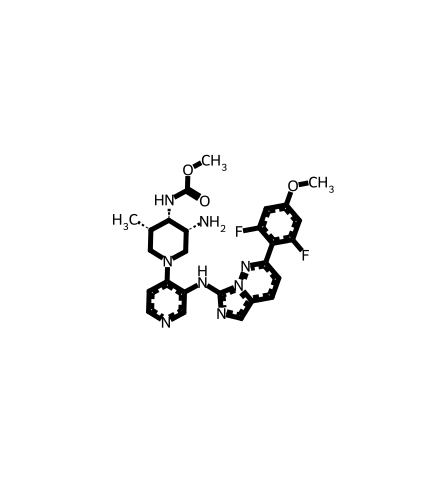 COC(=O)N[C@@H]1[C@H](N)CN(c2ccncc2Nc2ncc3ccc(-c4c(F)cc(OC)cc4F)nn23)C[C@@H]1C